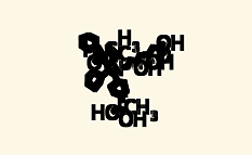 CC(C)c1c(C(=O)Nc2ccccc2)c(-c2ccccc2)c(-c2ccc(F)cc2)n1CC[C@@H](O)C[C@@H](O)CC(=O)O.CC(O)CO